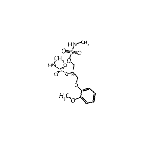 CNS(=O)(=O)OC[C@@H](COc1ccccc1OC)OS(=O)(=O)NC